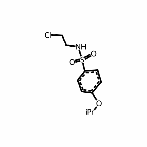 CC(C)Oc1ccc(S(=O)(=O)NCCCl)cc1